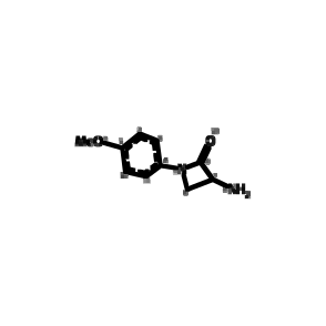 COc1ccc(N2CC(N)C2=O)cc1